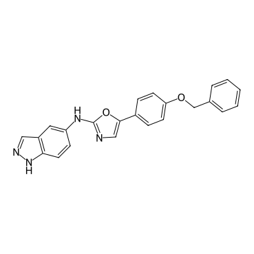 c1ccc(COc2ccc(-c3cnc(Nc4ccc5[nH]ncc5c4)o3)cc2)cc1